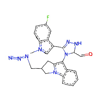 Cn1cc(C2=NNC(C=O)N2c2c3n(c4ccccc24)CC(CN=[N+]=[N-])C3)c2cc(F)ccc21